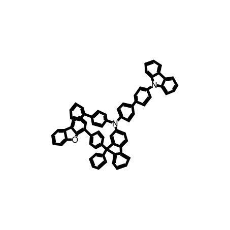 c1ccc(-c2ccc(N(c3ccc(-c4ccc(-n5c6ccccc6c6ccccc65)cc4)cc3)c3ccc4c(c3)C(c3ccccc3)(c3ccc(-c5cccc6c5oc5ccccc56)cc3)c3ccccc3-4)cc2)cc1